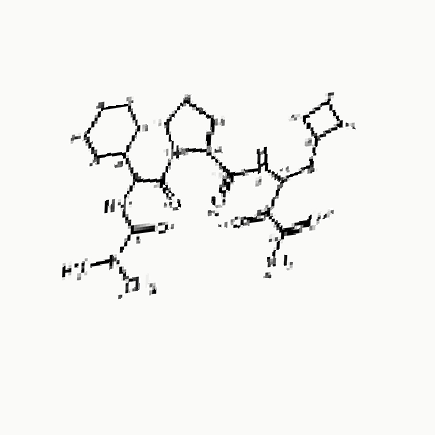 CN(C)C(=O)NC(C(=O)N1CCCC1C(=O)NC(CC1CCC1)C(=O)C(N)=O)C1CCCCC1